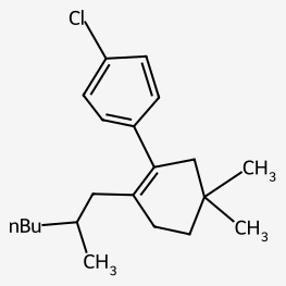 CCCCC(C)CC1=C(c2ccc(Cl)cc2)CC(C)(C)CC1